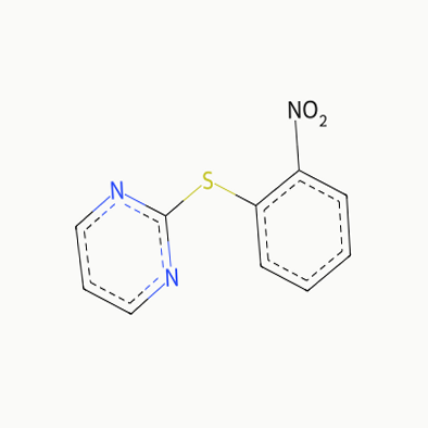 O=[N+]([O-])c1ccccc1Sc1ncccn1